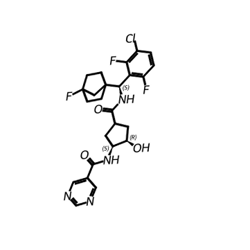 O=C(N[C@H]1CC(C(=O)N[C@H](c2c(F)ccc(Cl)c2F)C23CCC(F)(CC2)C3)C[C@H]1O)c1cncnc1